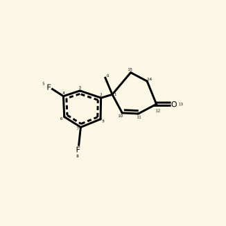 CC1(c2cc(F)cc(F)c2)C=CC(=O)CC1